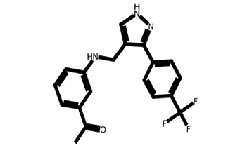 CC(=O)c1cccc(NCc2c[nH]nc2-c2ccc(C(F)(F)F)cc2)c1